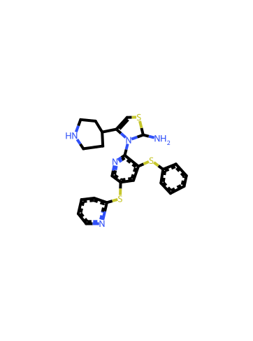 NC1SC=C(C2CCNCC2)N1c1ncc(Sc2ccccn2)cc1Sc1ccccc1